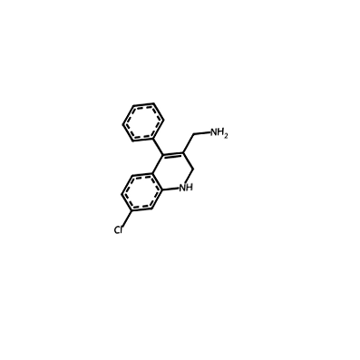 NCC1=C(c2ccccc2)c2ccc(Cl)cc2NC1